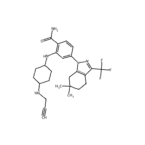 C#CCNC1CCC(Nc2cc(-n3nc(C(F)(F)F)c4c3CC(C)(C)CC4)ccc2C(N)=O)CC1